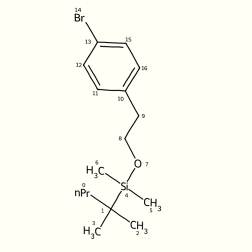 CCCC(C)(C)[Si](C)(C)OCCc1ccc(Br)cc1